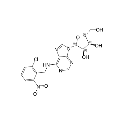 O=[N+]([O-])c1cccc(Cl)c1CNc1ncnc2c1ncn2[C@@H]1O[C@H](CO)[C@@H](O)[C@H]1O